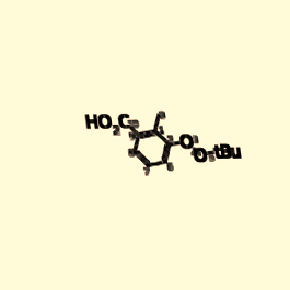 Cc1c(OOC(C)(C)C)cccc1C(=O)O